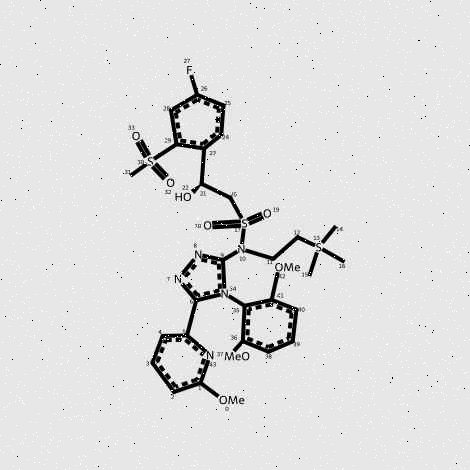 COc1cccc(-c2nnc(N(CCS(C)(C)C)S(=O)(=O)C[C@@H](O)c3ccc(F)cc3S(C)(=O)=O)n2-c2c(OC)cccc2OC)n1